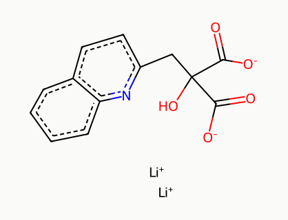 O=C([O-])C(O)(Cc1ccc2ccccc2n1)C(=O)[O-].[Li+].[Li+]